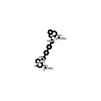 COC(=O)N[C@H]1CCc2cccc3c2N(C1=O)[C@H](c1ncc(-c2ccc(-c4ccc(-c5cnc([C@@H]6CCCN7C(=O)CC[C@H](NC(=O)OC)C(=O)N67)[nH]5)cc4)cc2)[nH]1)C3